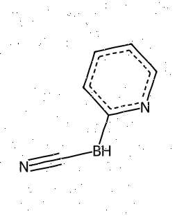 N#CBc1ccccn1